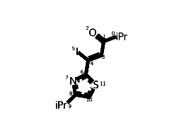 CC(C)C(=O)C=C(I)c1nc(C(C)C)cs1